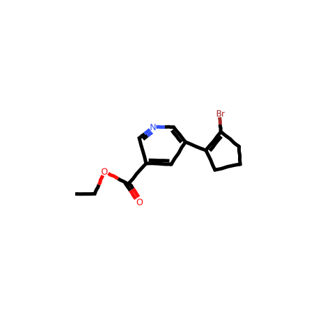 CCOC(=O)c1cncc(C2=C(Br)CCC2)c1